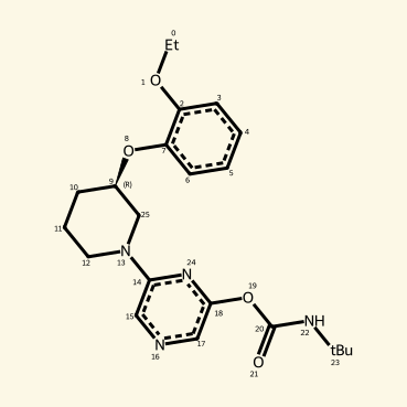 CCOc1ccccc1O[C@@H]1CCCN(c2cncc(OC(=O)NC(C)(C)C)n2)C1